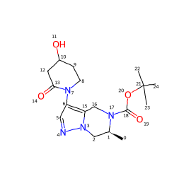 C[C@H]1Cn2ncc(N3CCC(O)CC3=O)c2CN1C(=O)OC(C)(C)C